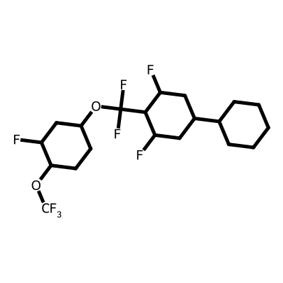 FC1CC(OC(F)(F)C2C(F)CC(C3CCCCC3)CC2F)CCC1OC(F)(F)F